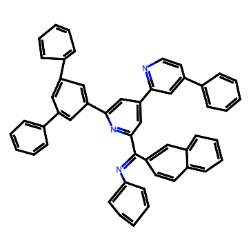 c1ccc(/N=C(\c2ccc3ccccc3c2)c2cc(-c3cc(-c4ccccc4)ccn3)cc(-c3cc(-c4ccccc4)cc(-c4ccccc4)c3)n2)cc1